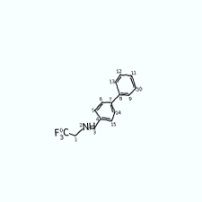 FC(F)(F)CNCc1ccc(-c2c[c]ccc2)cc1